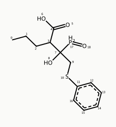 CCCC(C(=O)O)C(O)(CSc1ccccc1)[PH2]=O